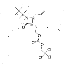 C=CC[C@@H]1[C@H](CCOC(=O)OCC(Cl)(Cl)Cl)C(=O)N1[Si](C)(C)C(C)(C)C